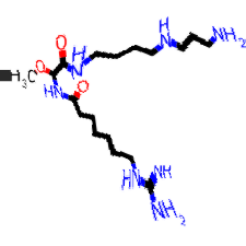 COC(NC(=O)CCCCCCNC(=N)N)C(=O)NCCCCNCCCN